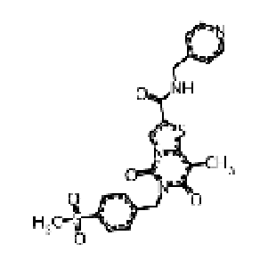 Cc1c(=O)n(Cc2ccc(S(C)(=O)=O)cc2)c(=O)n2cc(C(=O)NCc3ccncc3)sc12